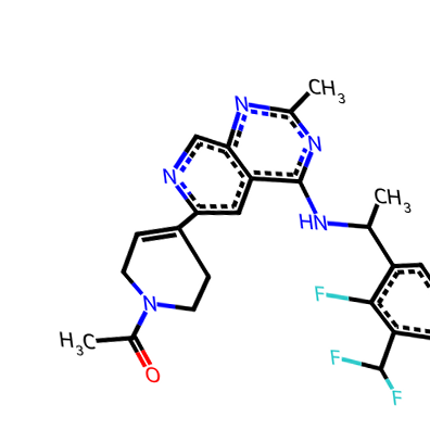 CC(=O)N1CC=C(c2cc3c(NC(C)c4cccc(C(F)F)c4F)nc(C)nc3cn2)CC1